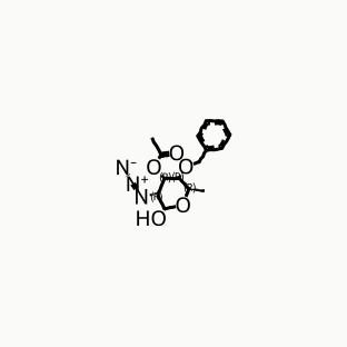 CC(=O)O[C@H]1[C@H](OCc2ccccc2)[C@@H](C)OC(O)[C@@H]1N=[N+]=[N-]